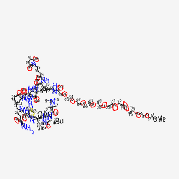 CC[C@H](C)[C@H](NC(=O)C(C)(C)N(C)C)C(=O)N(C)[C@H](C[C@@H](OC(C)=O)c1nc(C(=O)N[C@H](CCC(N)=O)Cc2ccc(O)c(NC(=O)[C@H](C)NC(=O)[C@@H](NC(=O)[C@H](CCCCNC(=O)COCCOCCOCCOCCOCCOCCOCCOCCOCCOC)NC(=O)CCCN3C(=O)C=CC3=O)C(C)C)c2)cs1)C(C)C